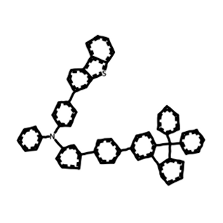 c1ccc(N(c2ccc(-c3ccc4c(c3)sc3ccccc34)cc2)c2cccc(-c3ccc(-c4ccc5c(c4)-c4ccccc4C5(c4ccccc4)c4ccccc4)cc3)c2)cc1